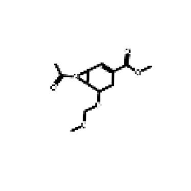 COCOC1CC(C(=O)OC)=CC2C1N2C(C)=O